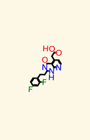 O=C(O)Cc1ccnc2[nH]c(CCc3ccc(F)cc3F)nc(=O)c12